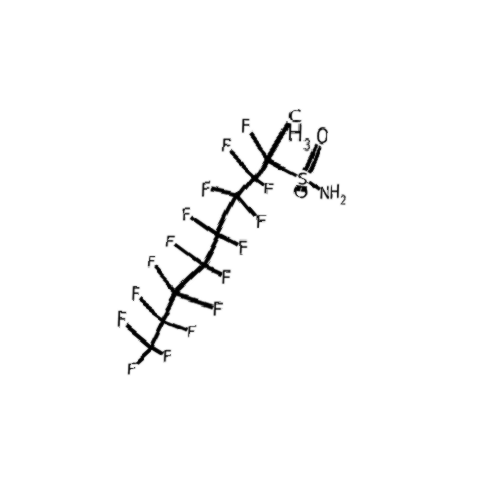 CC(F)(C(F)(F)C(F)(F)C(F)(F)C(F)(F)C(F)(F)C(F)(F)C(F)(F)F)S(N)(=O)=O